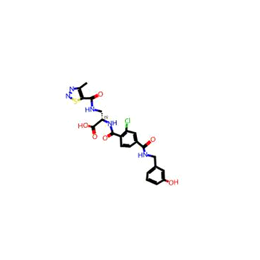 Cc1nnsc1C(=O)NC[C@H](NC(=O)c1ccc(C(=O)NCc2cccc(O)c2)cc1Cl)C(=O)O